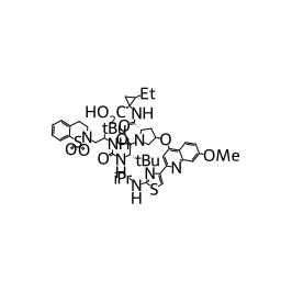 CCC1C[C@]1(NC(=O)[C@@H]1C[C@@H](Oc2cc(-c3csc(NC(C)C)n3)nc3cc(OC)ccc23)CN1C(=O)[C@@H](NC(=O)NC(CN1CCc2ccccc2S1(=O)=O)C(C)(C)C)C(C)(C)C)C(=O)O